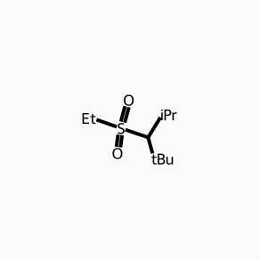 CCS(=O)(=O)C(C(C)C)C(C)(C)C